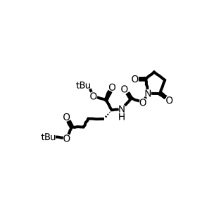 CC(C)(C)OC(=O)CCC[C@@H](NC(=O)ON1C(=O)CCC1=O)C(=O)OC(C)(C)C